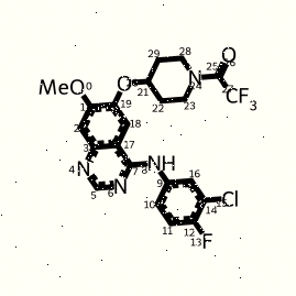 COc1cc2ncnc(Nc3ccc(F)c(Cl)c3)c2cc1OC1CCN(C(=O)C(F)(F)F)CC1